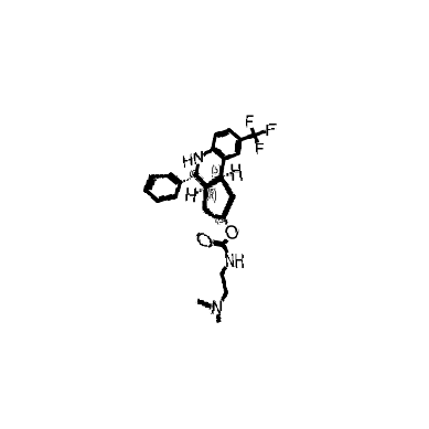 CN(C)CCNC(=O)O[C@@H]1C[C@@H]2[C@H](C1)c1cc(C(F)(F)F)ccc1N[C@H]2c1ccccc1